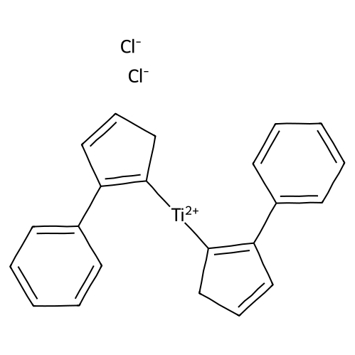 C1=CC(c2ccccc2)=[C]([Ti+2][C]2=C(c3ccccc3)C=CC2)C1.[Cl-].[Cl-]